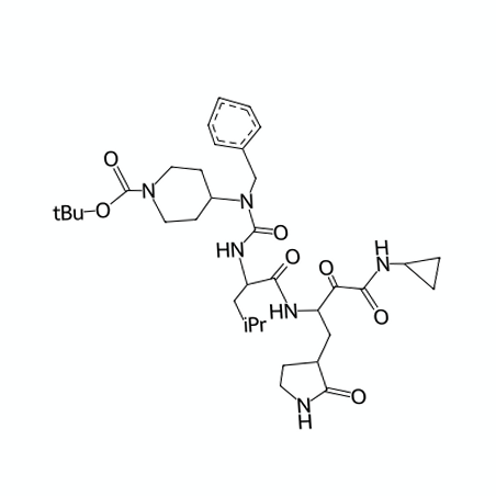 CC(C)CC(NC(=O)N(Cc1ccccc1)C1CCN(C(=O)OC(C)(C)C)CC1)C(=O)NC(CC1CCNC1=O)C(=O)C(=O)NC1CC1